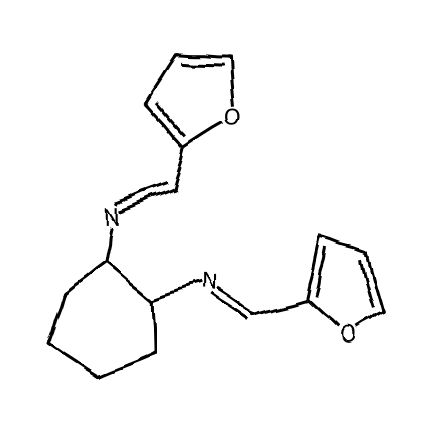 C(=N\C1CCCCC1/N=C/c1ccco1)/c1ccco1